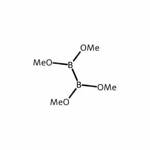 COB(OC)B(OC)OC